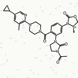 CC(=O)N1CCN(c2cc(N3C(=O)OC[C@H]3C)ccc2C(=O)N2CCN(c3ncc(C4CC4)cc3C)CC2)C1=O